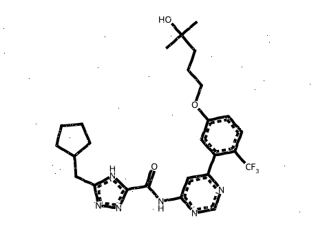 CC(C)(O)CCCOc1ccc(C(F)(F)F)c(-c2cc(NC(=O)c3nnc(CC4CCCC4)[nH]3)ncn2)c1